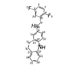 Fc1ccc(F)c(CNc2ccc3c(c2)CCc2ccccc2N3)c1